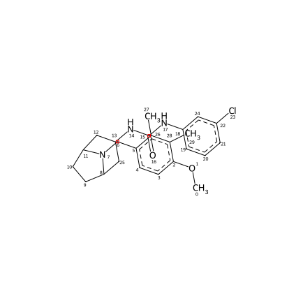 COc1ccc(CN2C3CCC2CC(NC(=O)Nc2cccc(Cl)c2)C3)c(C)c1C